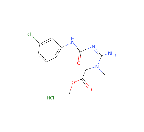 COC(=O)CN(C)/C(N)=N\C(=O)Nc1cccc(Cl)c1.Cl